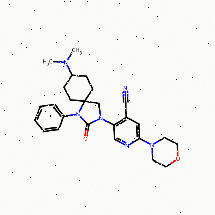 CN(C)C1CCC2(CC1)CN(c1cnc(N3CCOCC3)cc1C#N)C(=O)N2c1ccccc1